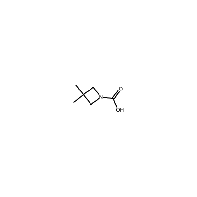 CC1(C)CN(C(=O)O)C1